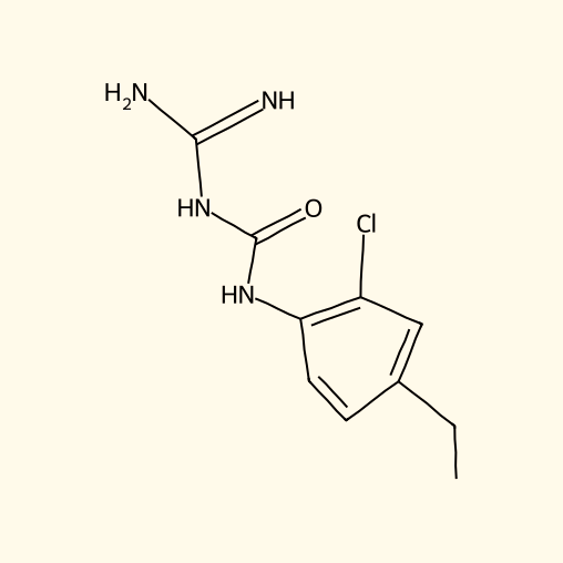 CCc1ccc(NC(=O)NC(=N)N)c(Cl)c1